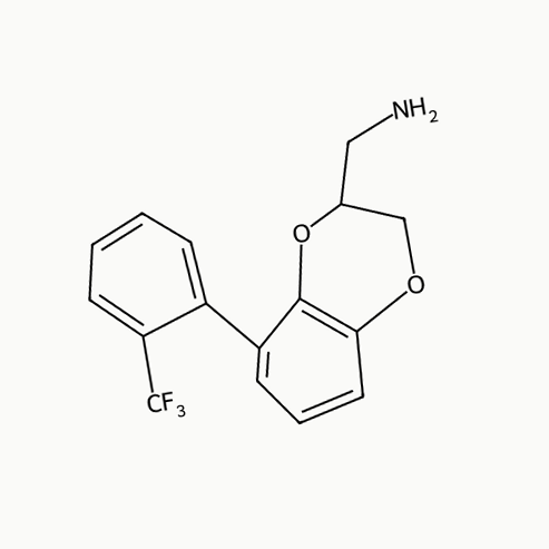 NCC1COc2cccc(-c3ccccc3C(F)(F)F)c2O1